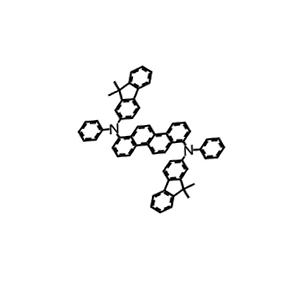 CC1(C)c2ccccc2-c2ccc(N(c3ccccc3)c3cccc4c3ccc3c5cccc(N(c6ccccc6)c6ccc7c(c6)C(C)(C)c6ccccc6-7)c5ccc43)cc21